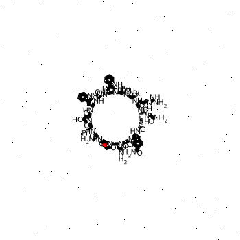 CCCC[C@H]1C(=O)N(C)[C@@H](CCCC)C(=O)N[C@@H](CCCNC(=N)N)C(=O)N[C@H](C(=O)NCC(N)=O)CSCC(=O)N[C@@H](Cc2ccc(C(N)=O)cc2)C(=O)N(C)[C@@H](C)C(=O)N[C@@H](CC(N)=O)C(=O)N2CCC[C@H]2C(=O)N[C@@H](CN)C(=O)N[C@@H](CC(C)C)C(=O)N2C[C@H](O)CC2C(=O)N[C@@H](Cc2c[nH]c3ccccc23)C(=O)N[C@@H](CO)C(=O)N[C@@H](Cc2c[nH]c3ccccc23)C(=O)N1C